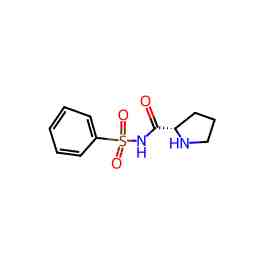 O=C(NS(=O)(=O)c1ccccc1)[C@@H]1CCCN1